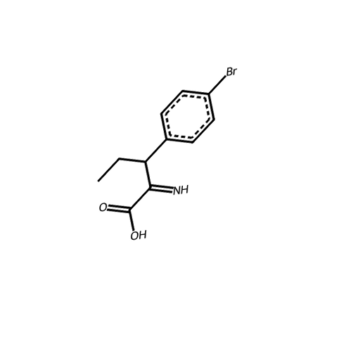 CCC(C(=N)C(=O)O)c1ccc(Br)cc1